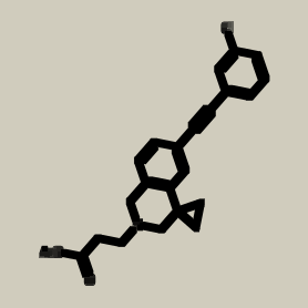 CC(=O)OC(=O)CCN1Cc2ccc(C#Cc3cccc(Cl)c3)cc2C2(CC2)C1